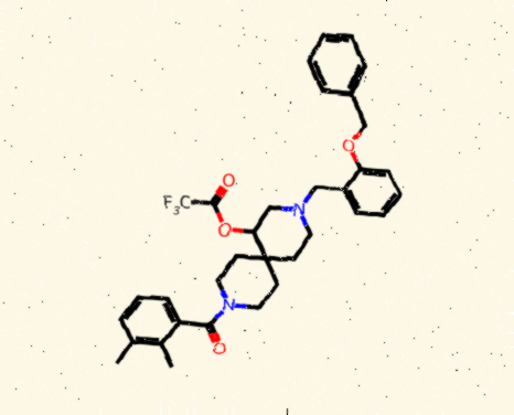 Cc1cccc(C(=O)N2CCC3(CCN(Cc4ccccc4OCc4ccccc4)CC3OC(=O)C(F)(F)F)CC2)c1C